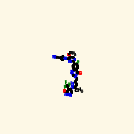 COc1cnc(-c2cc3ncn(CCC[C@H](C)Nc4cn[nH]c(=O)c4C(F)(F)F)c(=O)c3cc2F)nc1N1CC(C#N)C1